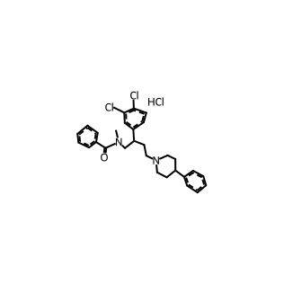 CN(CC(CCN1CCC(c2ccccc2)CC1)c1ccc(Cl)c(Cl)c1)C(=O)c1ccccc1.Cl